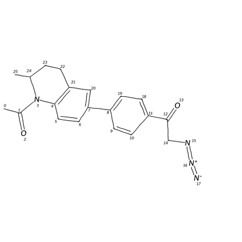 CC(=O)N1c2ccc(-c3ccc(C(=O)CN=[N+]=[N-])cc3)cc2CCC1C